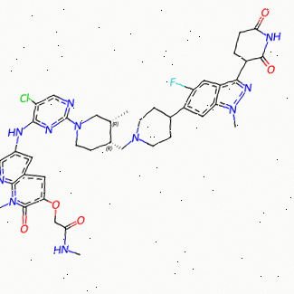 CNC(=O)COc1cc2cc(Nc3nc(N4CC[C@@H](CN5CCC(c6cc7c(cc6F)c(C6CCC(=O)NC6=O)nn7C)CC5)[C@@H](C)C4)ncc3Cl)cnc2n(C(C)C)c1=O